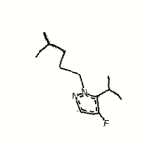 CC(C)CCCn1n[c]c(F)c1C(C)C